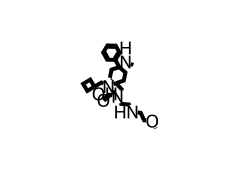 CN[C@]1(c2ccccc2)CC[C@]2(CC1)CN(CCNCCOC)C(=O)N2CC1(O)CCC1